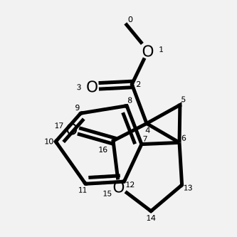 COC(=O)C12CC1(c1ccccc1)CCOC2=O